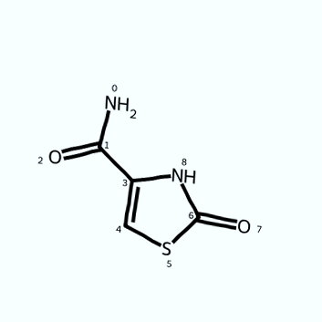 NC(=O)c1csc(=O)[nH]1